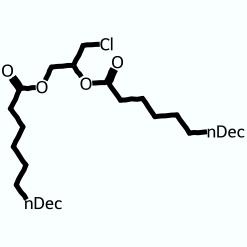 CCCCCCCCCCCCCCCC(=O)OCC(CCl)OC(=O)CCCCCCCCCCCCCCC